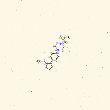 CCN1CCCC1c1ccc(N2CCN(S(C)(=O)=O)CC2)cc1